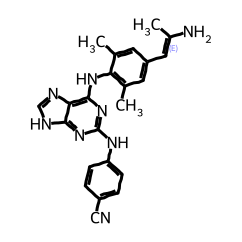 C/C(N)=C\c1cc(C)c(Nc2nc(Nc3ccc(C#N)cc3)nc3[nH]cnc23)c(C)c1